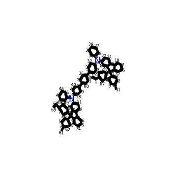 C=Cc1ccc(C2(c3ccc(C)cc3)c3ccccc3-c3ccc(N(c4ccccc4)c4ccc(-c5ccc(-c6ccc(N(c7ccccc7)c7ccc8c(c7)C(c7ccc(C)cc7)(c7ccc(C=C)cc7)c7ccccc7-8)cc6)cc5)cc4)cc32)cc1